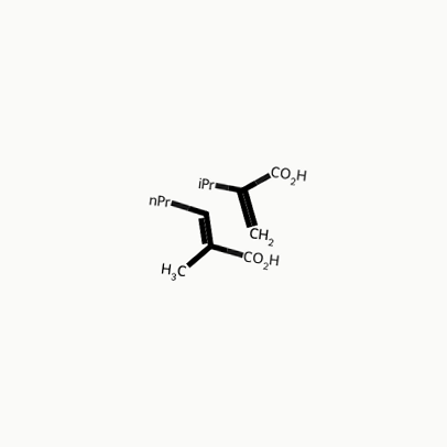 C=C(C(=O)O)C(C)C.CCC/C=C(\C)C(=O)O